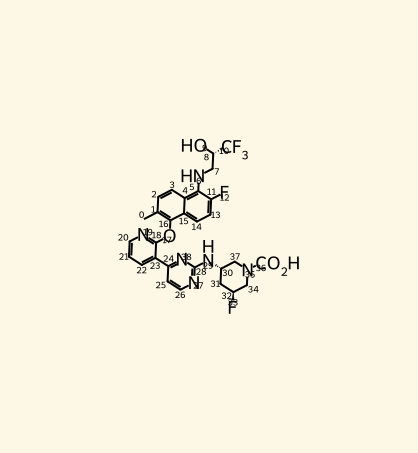 Cc1ccc2c(NC[C@H](O)C(F)(F)F)c(F)ccc2c1Oc1ncccc1-c1ccnc(N[C@H]2C[C@H](F)CN(C(=O)O)C2)n1